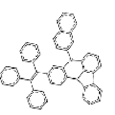 CC12c3ccccc3-c3cccc(c31)N(c1ccc3ccccc3c1)c1cc(C(=C(c3ccccc3)c3ccccc3)c3ccccc3)ccc12